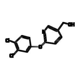 OCc1ccc(Oc2ccc(Cl)c(Cl)c2)nc1